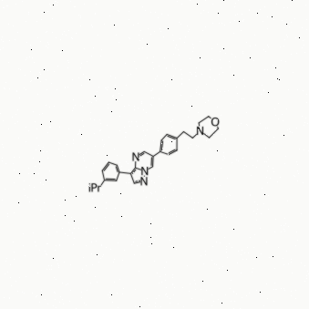 CC(C)c1cccc(-c2cnn3cc(-c4ccc(CCN5CCOCC5)cc4)cnc23)c1